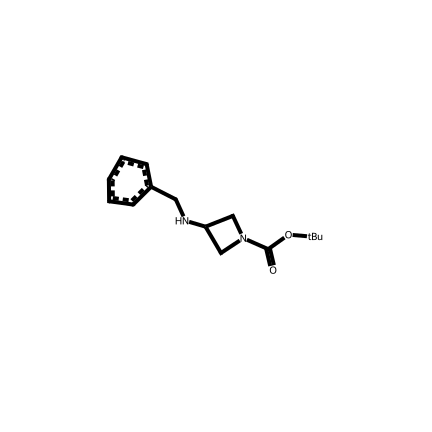 CC(C)(C)OC(=O)N1CC(NCc2ccccc2)C1